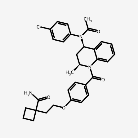 CC(=O)N(c1ccc(Cl)cc1)[C@@H]1C[C@H](C)N(C(=O)c2ccc(OCCC3(C(N)=O)CCC3)cc2)c2ccccc21